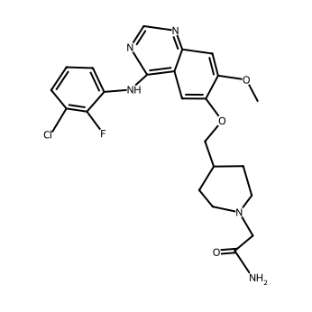 COc1cc2ncnc(Nc3cccc(Cl)c3F)c2cc1OCC1CCN(CC(N)=O)CC1